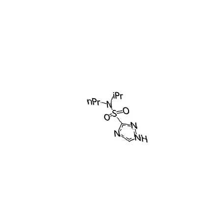 CCCN(C(C)C)S(=O)(=O)c1nc[nH]n1